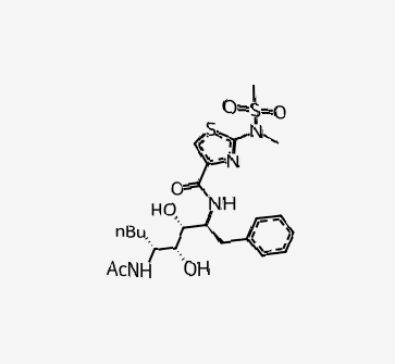 CCCC[C@@H](NC(C)=O)[C@@H](O)[C@H](O)[C@H](Cc1ccccc1)NC(=O)c1csc(N(C)S(C)(=O)=O)n1